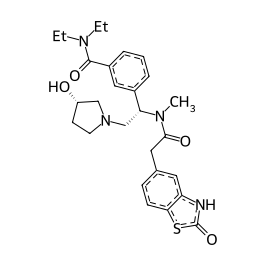 CCN(CC)C(=O)c1cccc([C@@H](CN2CC[C@H](O)C2)N(C)C(=O)Cc2ccc3sc(=O)[nH]c3c2)c1